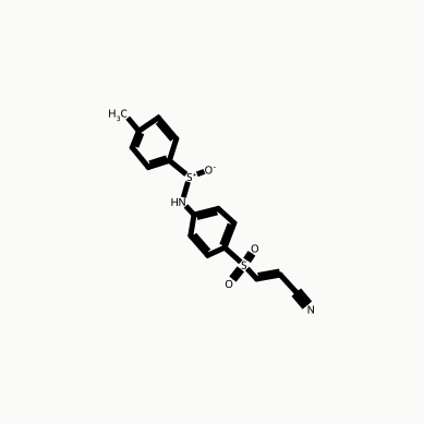 Cc1ccc([S+]([O-])Nc2ccc(S(=O)(=O)C=CC#N)cc2)cc1